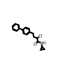 O=C(NC1CC1)C(Cl)CCc1ccc(-c2ccccc2)cc1